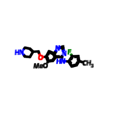 COc1cc2c(Nc3ccc(C)cc3F)ncnc2cc1OCC1CCNCC1